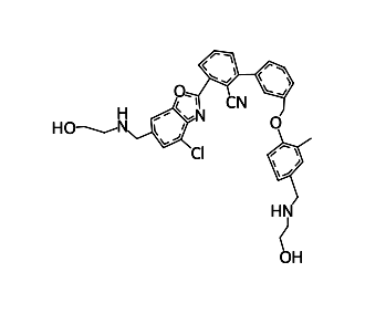 Cc1cc(CNCCO)ccc1OCc1cccc(-c2cccc(-c3nc4c(Cl)cc(CNCCO)cc4o3)c2C#N)c1